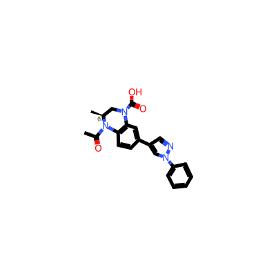 CC(=O)N1c2ccc(-c3cnn(-c4ccccc4)c3)cc2N(C(=O)O)C[C@@H]1C